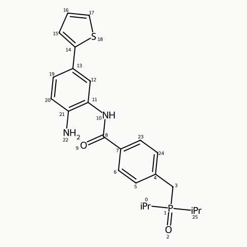 CC(C)P(=O)(Cc1ccc(C(=O)Nc2cc(-c3cccs3)ccc2N)cc1)C(C)C